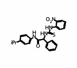 CC(C)c1ccc(NC(=O)C(NC(=S)Nc2ccccc2[N+](=O)[O-])c2ccccc2)cc1